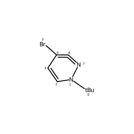 CC(C)(C)N1C=CC(Br)=C=N1